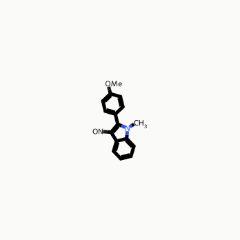 COc1ccc(-c2c(N=O)c3ccccc3n2C)cc1